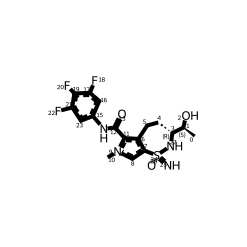 C[C@H](O)[C@H]1CCc2c(cn(C)c2C(=O)Nc2cc(F)c(F)c(F)c2)S(=N)(=O)N1